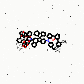 Cc1ccccc1-c1cccc2c1oc1c(N(c3ccc(C(C)(C)C)cc3)c3ccc4c(c3)C(c3ccccc3)(c3ccccc3)c3cc(N(c5ccc(C(C)(C)C)cc5)c5cccc6c5oc5c(-c7ccccc7[Si](c7ccccc7)(c7ccccc7)c7ccccc7)cccc56)c5ccccc5c3-4)cccc12